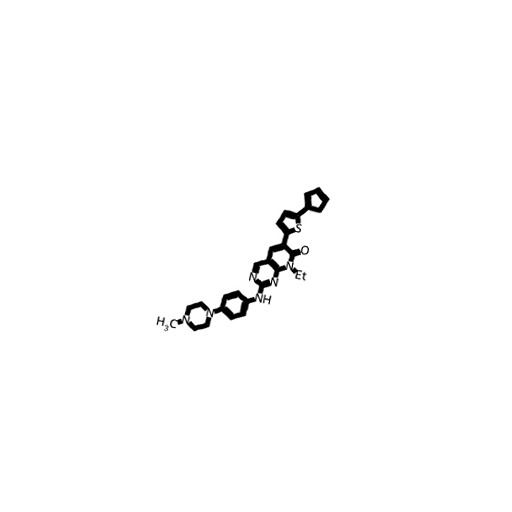 CCn1c(=O)c(-c2ccc(C3=CC=CC3)s2)cc2cnc(Nc3ccc(N4CCN(C)CC4)cc3)nc21